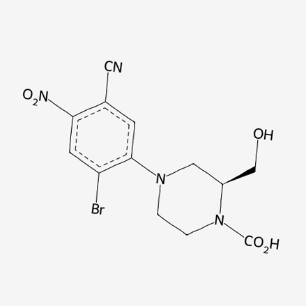 N#Cc1cc(N2CCN(C(=O)O)[C@H](CO)C2)c(Br)cc1[N+](=O)[O-]